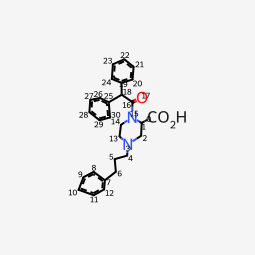 O=C(O)C1CN(CCCc2ccccc2)CCN1C(=O)C(c1ccccc1)c1ccccc1